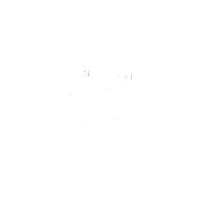 CC(SS(=O)(=O)O)C(=O)O.[NaH]